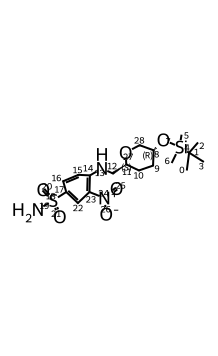 CC(C)(C)[Si](C)(C)O[C@@H]1CC[C@@H](CNc2ccc(S(N)(=O)=O)cc2[N+](=O)[O-])OC1